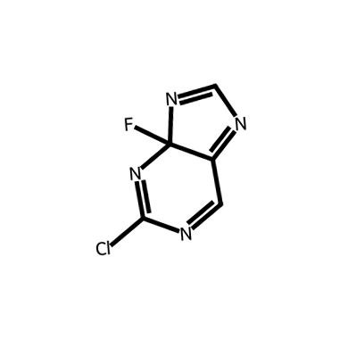 FC12N=CN=C1C=NC(Cl)=N2